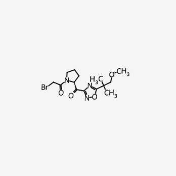 COCC(C)(C)c1nc(C(=O)[C@@H]2CCCN2C(=O)CBr)no1